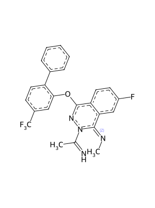 C/N=c1/c2cc(F)ccc2c(Oc2cc(C(F)(F)F)ccc2-c2ccccc2)nn1C(C)=N